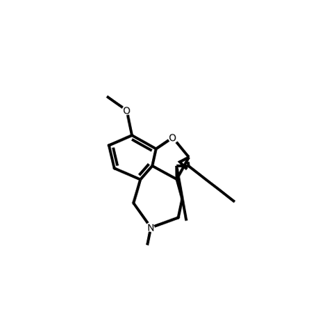 COc1ccc2c3c1OC1C=C(C)C(C)C31CCN(C)C2